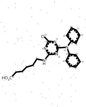 O=C(O)CCCCCNc1nc(Cl)nc(N(c2ccccc2)c2ccccc2)n1